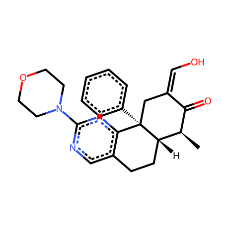 C[C@@H]1C(=O)C(=CO)C[C@]2(c3ccccc3)c3nc(N4CCOCC4)ncc3CC[C@@H]12